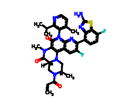 C=CC(=O)N1C[C@@H]2C(=O)N(C)c3c(c4cc(F)c(-c5ccc(F)c6sc(N)nc56)nc4n(-c4c(C)ccnc4C(C)C)c3=O)N2C[C@H]1C